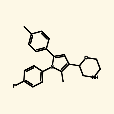 Cc1ccc(-c2cc(C3CNCCO3)c(C)n2-c2ccc(F)cc2)cc1